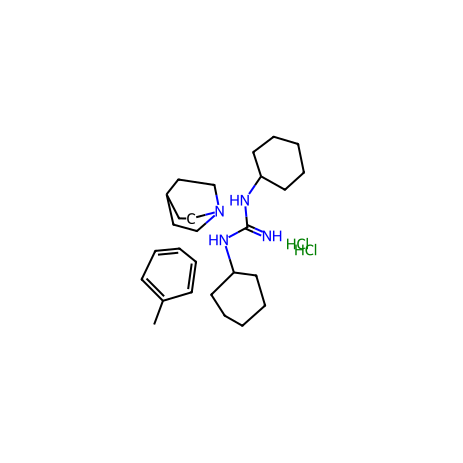 C1CN2CCC1CC2.Cc1ccccc1.Cl.Cl.N=C(NC1CCCCC1)NC1CCCCC1